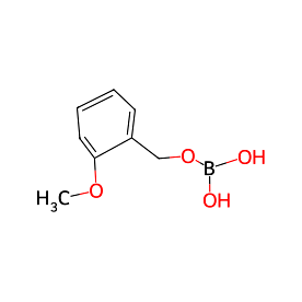 COc1ccccc1COB(O)O